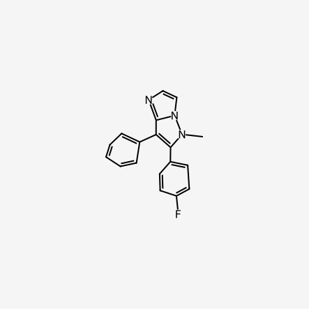 Cn1c(-c2ccc(F)cc2)c(-c2ccccc2)c2nccn21